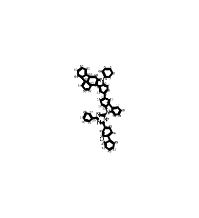 C1=CCCC(n2c3ccc(-c4ccc5c(c4)c4ccccc4n5-c4nc(-c5ccccc5)nc(-c5ccc6c(c5)oc5ccccc56)n4)cc3c3c4cccc5c4c(cc32)-c2ccccc2-5)=C1